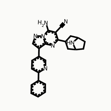 N#Cc1c(C2CC3CCC(C2)N3)nc2c(-c3ccc(-c4ccccc4)nc3)cnn2c1N